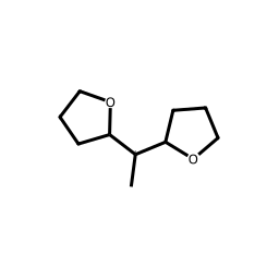 C[C](C1CCCO1)C1CCCO1